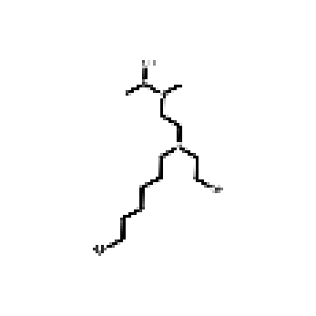 CB(O)N(C)CCN(CCO)CCCCCCN